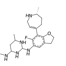 CNC1CC(C)NC(Nc2cc3c(c(C4=CCN[C@H](C)CC4)c2F)OCC3)N1